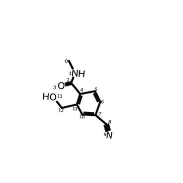 CNC(=O)c1ccc(C#N)cc1CO